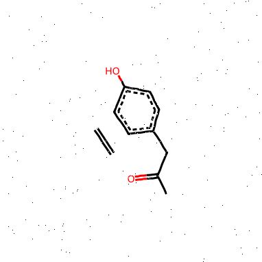 C=C.CC(=O)Cc1ccc(O)cc1